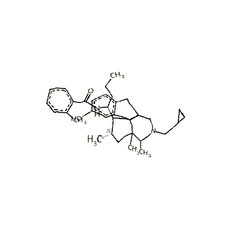 CCCC(NC(=O)c1ccccc1C)C1[C@@H](C)CC2(C)C(C)N(CC3CC3)CC3Cc4ccc(O)cc4C312